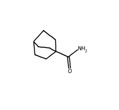 NC(=O)C12CCC(CC1)CC2